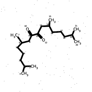 CC(C)CCCC(C)CC(=O)C(=O)CC(C)CCCC(C)C